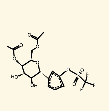 CC(=O)OC[C@H]1O[C@H](c2cccc(OS(=O)(=O)C(F)(F)F)c2)[C@@H](O)[C@@H](O)[C@H]1OC(C)=O